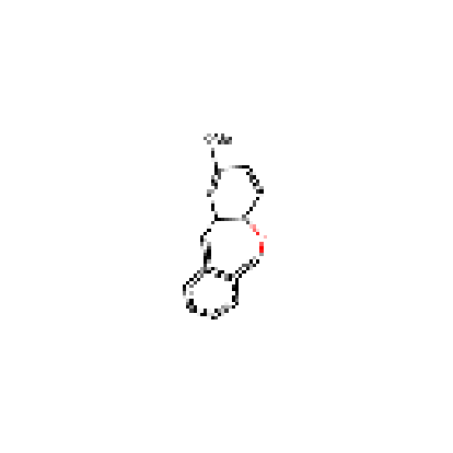 COC1=CC2C=c3ccccc3=COC2C=C1